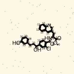 COC(=O)C(=Cc1cnc2ccccc2c1)NC(=O)c1ccc(C(O)CCc2cccc(O)c2)cc1Cl